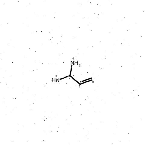 C=CC([NH])N